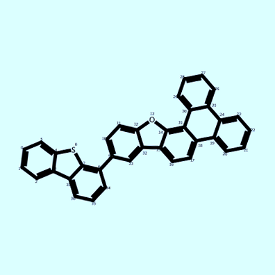 c1ccc2c(c1)sc1c(-c3ccc4oc5c(ccc6c7ccccc7c7ccccc7c65)c4c3)cccc12